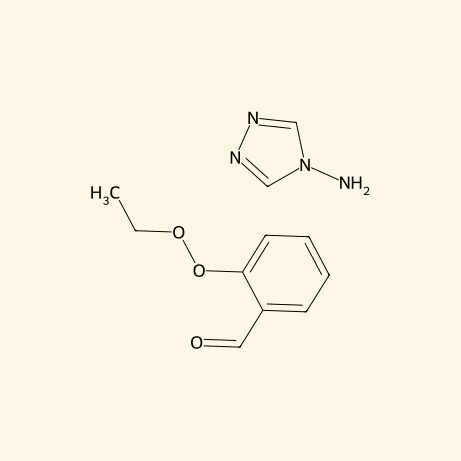 CCOOc1ccccc1C=O.Nn1cnnc1